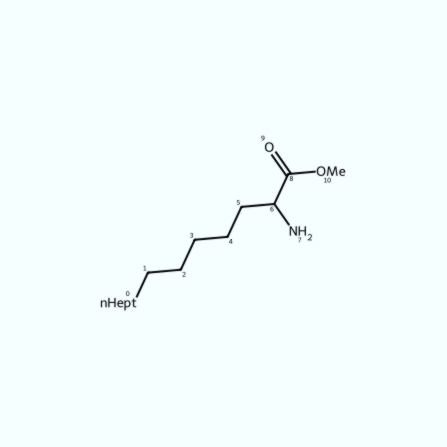 CCCCCCCCCCCCC(N)C(=O)OC